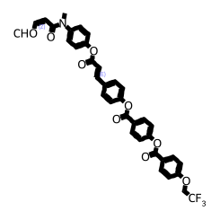 CN(C(=O)/C=C\C=O)c1ccc(OC(=O)/C=C/c2ccc(OC(=O)c3ccc(OC(=O)c4ccc(OCC(F)(F)F)cc4)cc3)cc2)cc1